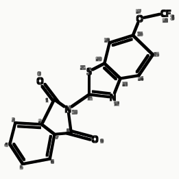 O=C1c2ccccc2C(=O)N1c1nc2ccc(OC(F)(F)F)cc2s1